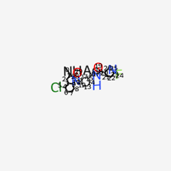 CC(=O)Nc1cc2c(Cl)cccc2n(C2CCCC(CNC(=O)c3ccc(F)nc3)C2)c1=O